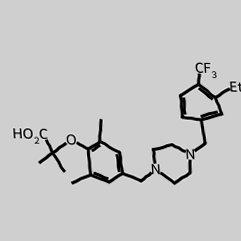 CCc1cc(CN2CCN(Cc3cc(C)c(OC(C)(C)C(=O)O)c(C)c3)CC2)ccc1C(F)(F)F